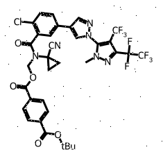 Cn1nc(C(F)(F)C(F)(F)F)c(C(F)(F)F)c1-n1cc(-c2ccc(Cl)c(C(=O)N(COC(=O)c3ccc(C(=O)OC(C)(C)C)cc3)C3(C#N)CC3)c2)cn1